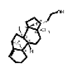 C[C@]12CC[C@H]3[C@@H](CCC4=CCCC[C@@]43C)[C@@H]1CC[C@@H]2CCO